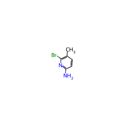 Cc1ccc(N)nc1Br